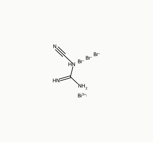 N#CNC(=N)N.[Bi+3].[Br-].[Br-].[Br-]